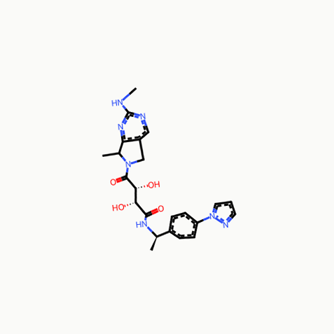 CNc1ncc2c(n1)C(C)N(C(=O)[C@H](O)[C@@H](O)C(=O)N[C@H](C)c1ccc(-n3cccn3)cc1)C2